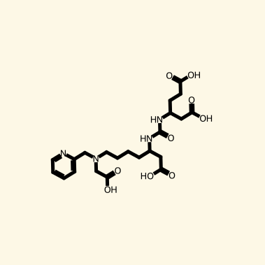 O=C(O)CCC(CC(=O)O)NC(=O)NC(CCCCN(CC(=O)O)Cc1ccccn1)CC(=O)O